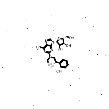 CCN(C[C@@H](C)c1ccccc1)c1nc(N)c2ncn([C@@H]3O[C@H](CO)[C@@H](O)[C@H]3O)c2n1.Cl